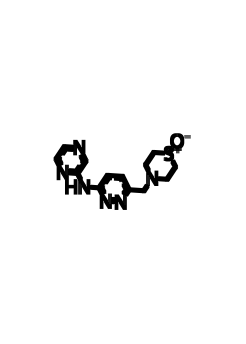 [O-][S+]1CCN(Cc2ccc(Nc3cnccn3)nn2)CC1